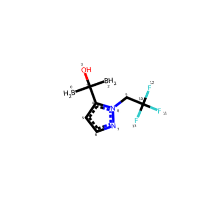 BC(B)(O)c1ccnn1CC(F)(F)F